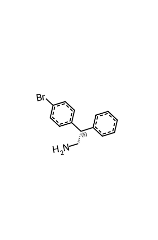 NC[C@@H](c1ccccc1)c1ccc(Br)cc1